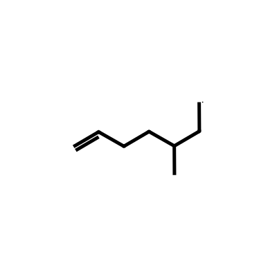 [CH2]CC(C)CCC=C